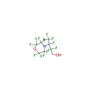 OCC(F)(F)C(F)(N1C(F)(F)C(F)(F)OC(F)(F)C1(F)F)C(F)(F)F